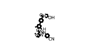 Cc1cc(-c2ccc(C(=O)N3CCC(O)C3)cc2)cc(C)c1Oc1nc(Nc2ccc(C#N)cc2)nc2ccn(C)c12